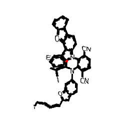 CC/C=C\C(=C(/C)I)N(c1ccc2cc(/C=C\C=C/I)oc2c1)c1c(C#N)ccc(C#N)c1-n1c2ccccc2c2c3oc4ccccc4c3ccc21